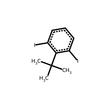 CC(C)(C)c1c(I)cccc1I